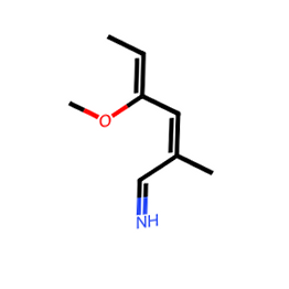 C/C=C(/C=C(/C)C=N)OC